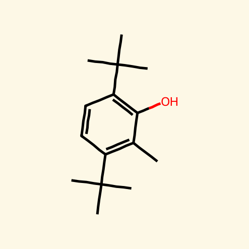 Cc1c(C(C)(C)C)ccc(C(C)(C)C)c1O